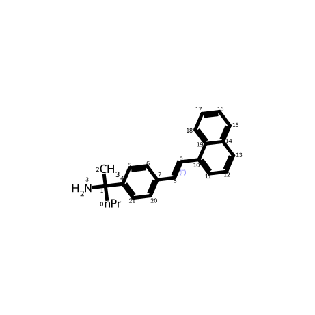 CCCC(C)(N)c1ccc(/C=C/c2cccc3ccccc23)cc1